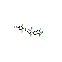 CCc1cc(F)c(OCc2cc(F)c(-c3ccc4c(F)c(F)c(F)cc4c3)c(F)c2)c(F)c1